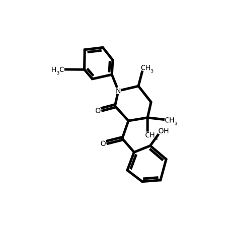 Cc1cccc(N2C(=O)C(C(=O)c3ccccc3O)C(C)(C)CC2C)c1